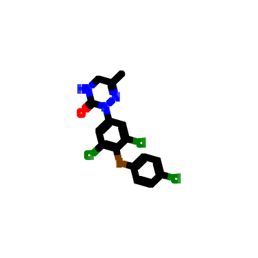 CC1=NN(c2cc(Cl)c(Sc3ccc(Cl)cc3)c(Cl)c2)C(=O)NC1